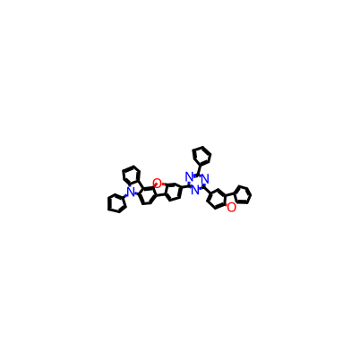 c1ccc(-c2nc(-c3ccc4c(c3)oc3c4ccc4c3c3ccccc3n4-c3ccccc3)nc(-c3ccc4oc5ccccc5c4c3)n2)cc1